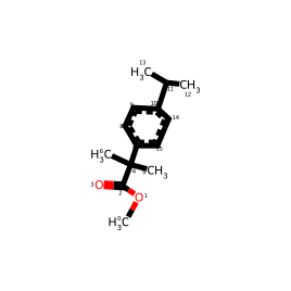 COC(=O)C(C)(C)c1ccc(C(C)C)cc1